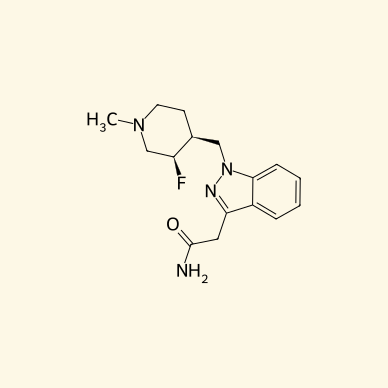 CN1CC[C@@H](Cn2nc(CC(N)=O)c3ccccc32)[C@@H](F)C1